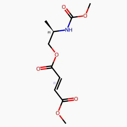 COC(=O)/C=C/C(=O)OC[C@@H](C)NC(=O)OC